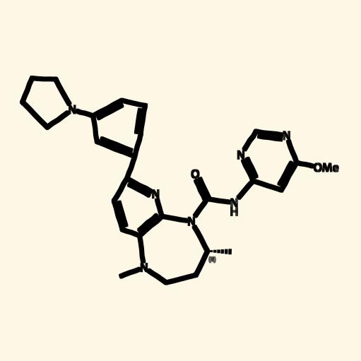 COc1cc(NC(=O)N2c3nc(-c4cccc(N5CCCC5)c4)ccc3N(C)CC[C@H]2C)ncn1